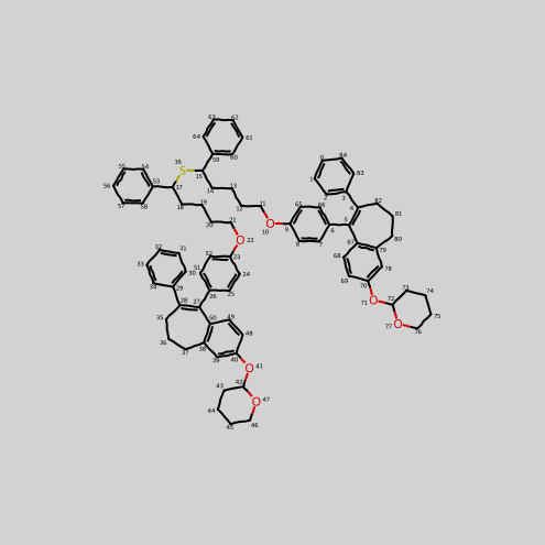 c1ccc(C2=C(c3ccc(OCCCCC(SC(CCCCOc4ccc(C5=C(c6ccccc6)CCCc6cc(OC7CCCCO7)ccc65)cc4)c4ccccc4)c4ccccc4)cc3)c3ccc(OC4CCCCO4)cc3CCC2)cc1